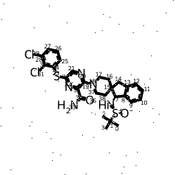 CC(C)(C)[S@@+]([O-])N[C@@H]1c2ccccc2CC12CCN(c1ncc(Sc3cccc(Cl)c3Cl)nc1C(N)=O)CC2